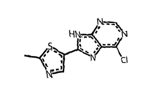 Cc1ncc(-c2nc3c(Cl)ncnc3[nH]2)s1